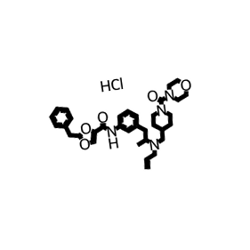 C=CCN(CC1CCN(C(=O)N2CCOCC2)CC1)C(C)Cc1cccc(NC(=O)C2=COC(Cc3ccccc3)O2)c1.Cl